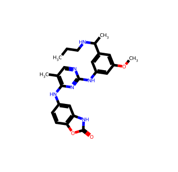 CCCNC(C)c1cc(Nc2ncc(C)c(Nc3ccc4oc(=O)[nH]c4c3)n2)cc(OC)c1